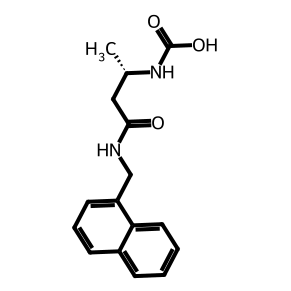 C[C@@H](CC(=O)NCc1cccc2ccccc12)NC(=O)O